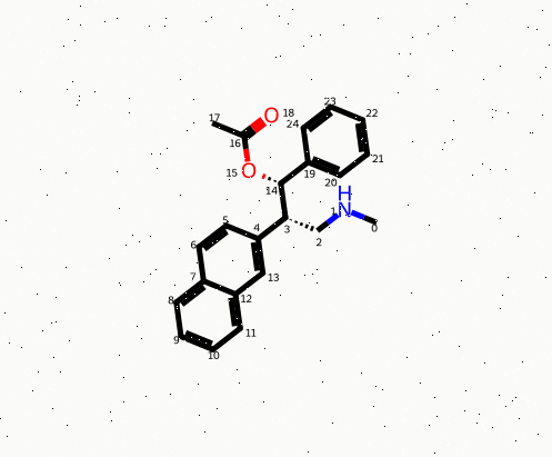 CNC[C@H](c1ccc2ccccc2c1)[C@H](OC(C)=O)c1ccccc1